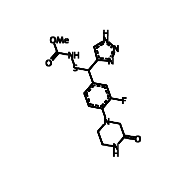 COC(=O)NSC(c1ccc(N2CCNC(=O)C2)c(F)c1)c1c[nH]nn1